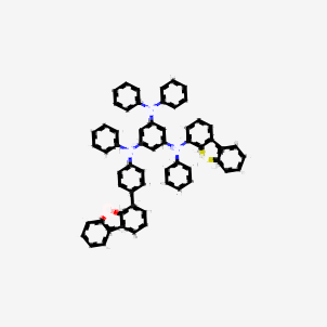 c1ccc(N(c2ccccc2)c2cc(N(c3ccccc3)c3ccc(-c4cccc5c4oc4ccccc45)cc3)cc(N(c3ccccc3)c3cccc4c3sc3ccccc34)c2)cc1